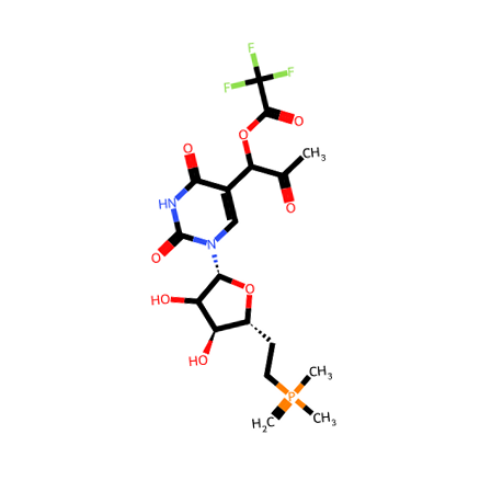 C=P(C)(C)CC[C@H]1O[C@@H](n2cc(C(OC(=O)C(F)(F)F)C(C)=O)c(=O)[nH]c2=O)C(O)[C@@H]1O